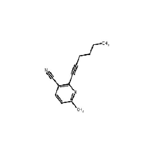 CCCCC#Cc1nc(C)ccc1C#N